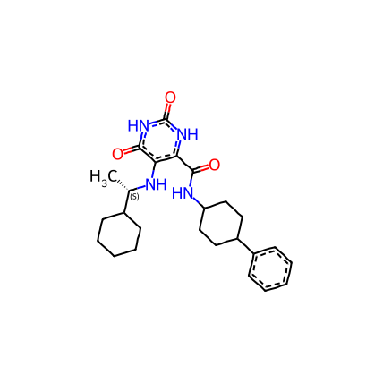 C[C@H](Nc1c(C(=O)NC2CCC(c3ccccc3)CC2)[nH]c(=O)[nH]c1=O)C1CCCCC1